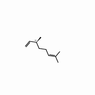 C=C[C@@H](C)CCC=C(C)C